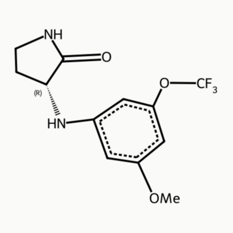 COc1cc(N[C@@H]2CCNC2=O)cc(OC(F)(F)F)c1